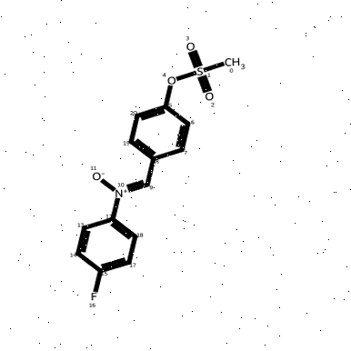 CS(=O)(=O)Oc1ccc(/C=[N+](\[O-])c2ccc(F)cc2)cc1